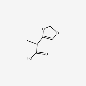 CC(C(=O)O)C1=COCO1